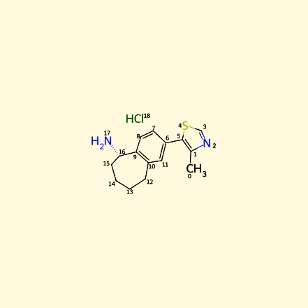 Cc1ncsc1-c1ccc2c(c1)CCCC[C@@H]2N.Cl